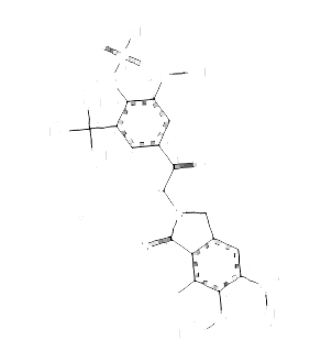 Br.COc1cc(C(=O)CN2Cc3cc(OC)c(OC)c(F)c3C2=N)cc(C(C)(C)C)c1OS(C)(=O)=O